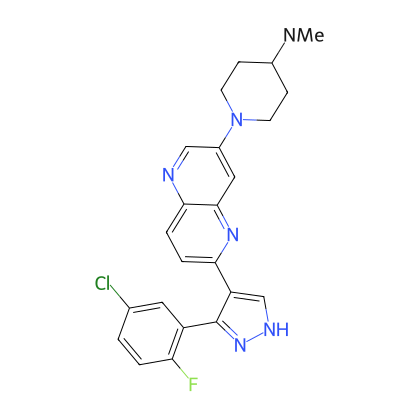 CNC1CCN(c2cnc3ccc(-c4c[nH]nc4-c4cc(Cl)ccc4F)nc3c2)CC1